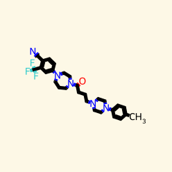 Cc1ccc(N2CCN(CCCC(=O)N3CCCN(c4ccc(C#N)c(C(F)(F)F)c4)CC3)CC2)cc1